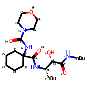 CCCCNC(=O)[C@@H](O)[C@H](CCCC)NC(=O)C1(NC(=O)N2CCOCC2)CCCCC1